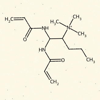 C=CC(=O)NC(NC(=O)C=C)C(CCC)[N+](C)(C)C